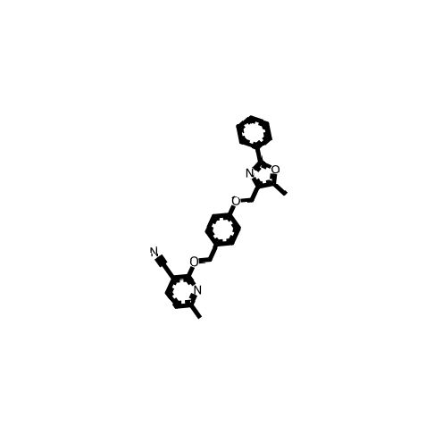 Cc1ccc(C#N)c(OCc2ccc(OCc3nc(-c4ccccc4)oc3C)cc2)n1